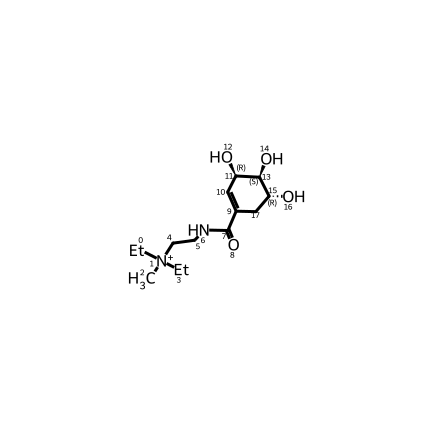 CC[N+](C)(CC)CCNC(=O)C1=C[C@@H](O)[C@@H](O)[C@H](O)C1